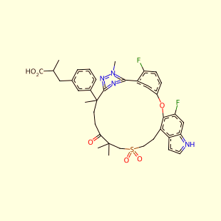 CC(Cc1cccc(C2(C)CCC(=O)C(C)(C)CS(=O)(=O)CCc3c(c(F)cc4[nH]ccc34)Oc3ccc(F)c(c3)-c3nc2nn3C)c1)C(=O)O